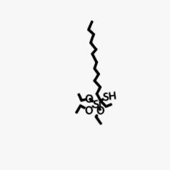 CCCCCCCCCCCCC(S)(CC)[Si](OCC)(OCC)OCC